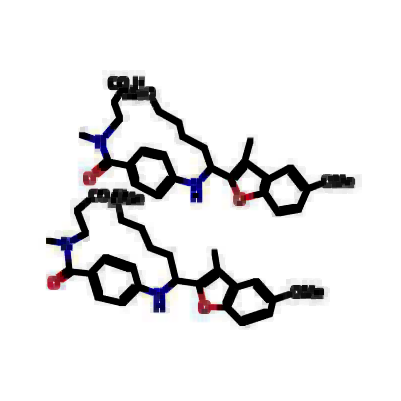 CCOC(=O)CCN(C)C(=O)c1ccc(NC(CCCCOC)c2oc3ccc(OC)cc3c2C)cc1.COCCCCC(Nc1ccc(C(=O)N(C)CCC(=O)O)cc1)c1oc2ccc(OC)cc2c1C